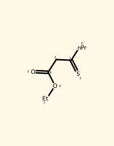 CCCC(=S)CC(=O)OCC